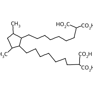 CC1CC(C)C(CCCCCCCC(C(=O)O)C(=O)O)C1CCCCCCCC(C(=O)O)C(=O)O